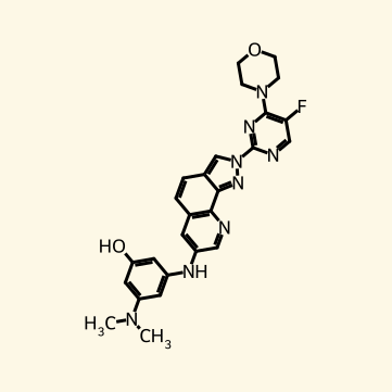 CN(C)c1cc(O)cc(Nc2cnc3c(ccc4cn(-c5ncc(F)c(N6CCOCC6)n5)nc43)c2)c1